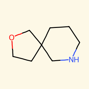 C1CNCC2(C1)CCOC2